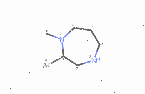 CC(=O)C1CNCCCN1C